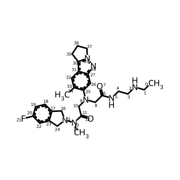 CCNCCNC(=O)CN(CC(=O)N(C)N1Cc2ccc(F)cc2C1)c1cc2nn3c(c2cc1C)CCC3